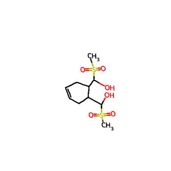 CS(=O)(=O)C(O)C1CC=CCC1C(O)S(C)(=O)=O